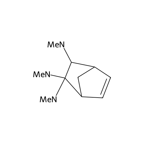 CNC1C2C=CC(C2)C1(NC)NC